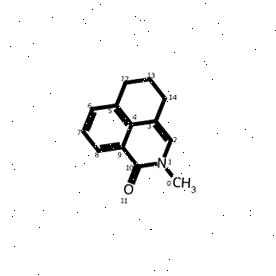 Cn1cc2c3c(cccc3c1=O)CCC2